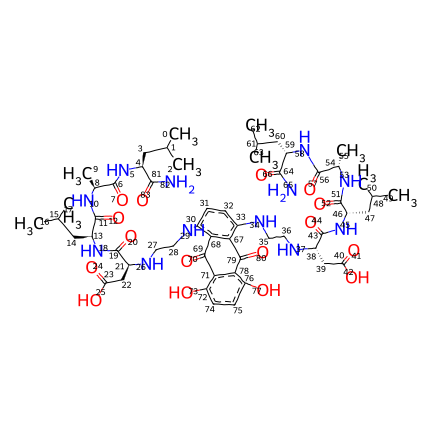 CC(C)C[C@H](NC(=O)[C@H](C)NC(=O)[C@H](CC(C)C)NC(=O)[C@H](CC(=O)O)NCCNc1ccc(NCCN[C@@H](CC(=O)O)C(=O)N[C@@H](CC(C)C)C(=O)N[C@@H](C)C(=O)N[C@@H](CC(C)C)C(N)=O)c2c1C(=O)c1c(O)ccc(O)c1C2=O)C(N)=O